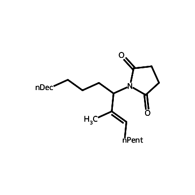 CCCCCC=C(C)C(CCCCCCCCCCCCC)N1C(=O)CCC1=O